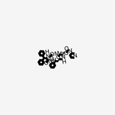 COC(=O)N[C@H](C(=O)Nc1ccccc1CC[C@@H]1CN[C@H](COC(=O)N(C)c2cccnc2)CO1)C(c1ccccc1)c1ccccc1